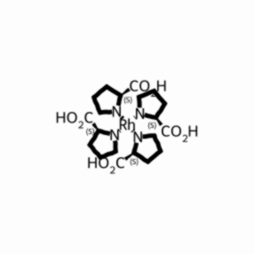 O=C(O)[C@@H]1CCC[N]1[Rh]([N]1CCC[C@H]1C(=O)O)([N]1CCC[C@H]1C(=O)O)[N]1CCC[C@H]1C(=O)O